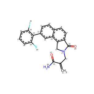 C=C(CN1Cc2c(ccc3ccc(-c4c(F)cccc4F)cc23)C1=O)C(N)=O